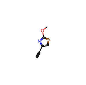 C#Cc1csc(OC)n1